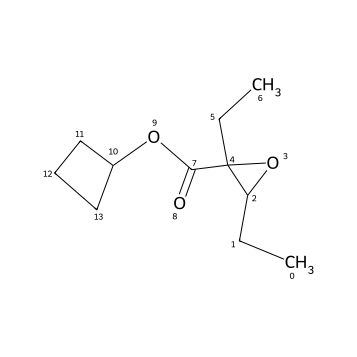 CCC1OC1(CC)C(=O)OC1CCC1